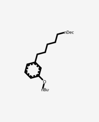 CCC[CH]Oc1cccc(CCCCCCCCCCCCCCC)c1